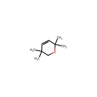 CC1(C)C=CC(C)(C)OC1